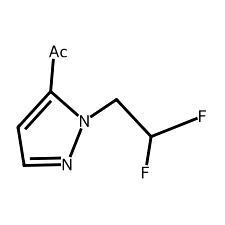 CC(=O)c1ccnn1CC(F)F